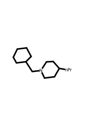 CCCC1CCN(CC2CCCCC2)CC1